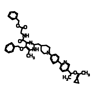 CC1=C(OCc2ccccc2)C(C(=O)NCC(=O)OCc2ccccc2)=NC(CC2CCN(c3ccc(-c4ccc(C(C)OC(C)=C5CC5)cn4)cc3)CC2)N1